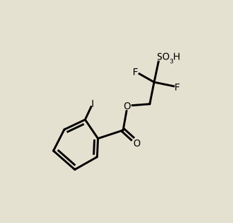 O=C(OCC(F)(F)S(=O)(=O)O)c1ccccc1I